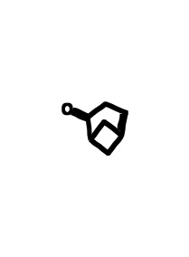 O=C1CC=C2CC1C2